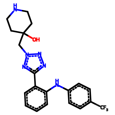 OC1(Cn2nnc(-c3ccccc3Nc3ccc(C(F)(F)F)cc3)n2)CCNCC1